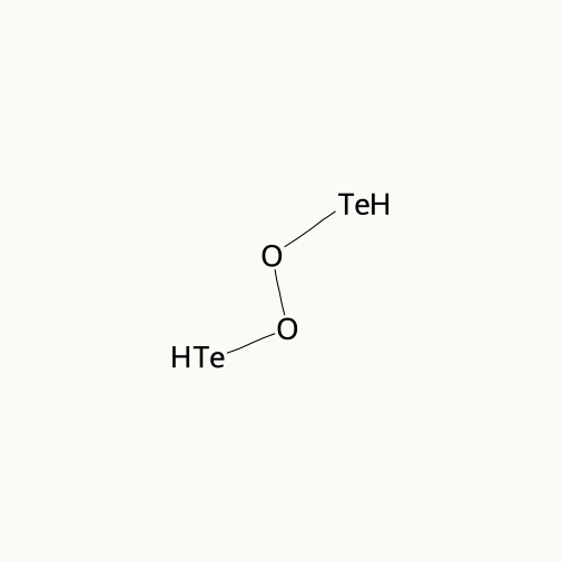 [TeH]OO[TeH]